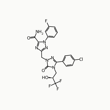 NC(=O)c1nc(Cn2nc(-c3ccc(Cl)cc3)n(C[C@H](O)C(F)(F)F)c2=O)nn1-c1cccc(F)c1